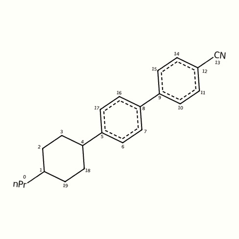 CCCC1CCC(c2ccc(-c3ccc(C#N)cc3)cc2)CC1